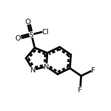 O=S(=O)(Cl)c1cnn2cc(C(F)F)ccc12